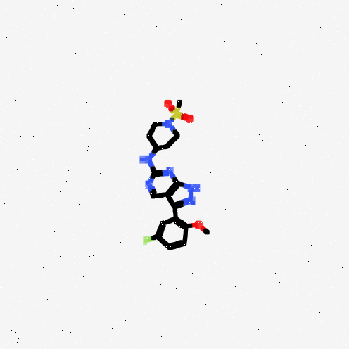 COc1ccc(F)cc1-c1n[nH]c2nc(NC3CCN(S(C)(=O)=O)CC3)ncc12